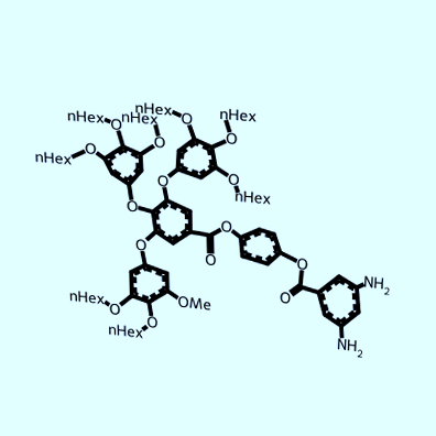 CCCCCCOc1cc(Oc2cc(C(=O)Oc3ccc(OC(=O)c4cc(N)cc(N)c4)cc3)cc(Oc3cc(OCCCCCC)c(OCCCCCC)c(OCCCCCC)c3)c2Oc2cc(OCCCCCC)c(OCCCCCC)c(OCCCCCC)c2)cc(OC)c1OCCCCCC